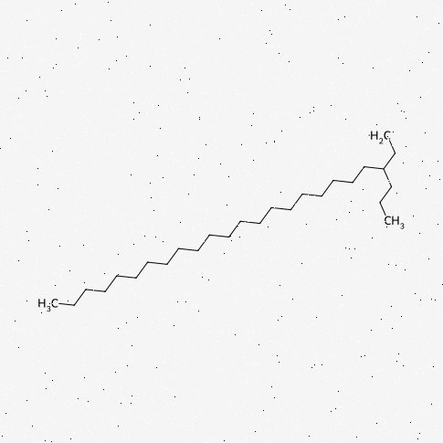 [CH2]CC(CCC)CCCCCCCCCCCCCCCCCCCCC